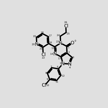 O=c1c2cnn(-c3ccc(Cl)cc3)c2nc(-c2cccnc2Cl)n1CCCl